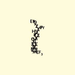 CCOCCCC(CNC1CCC(CC(=O)N2CCN(c3nccc(C(F)(F)F)n3)CC2)CC1)C(C)C